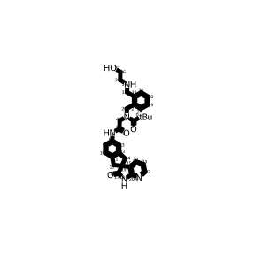 CC(C)(C)C(=O)N(CC(=O)Nc1ccc2c(c1)CC1(C2)C(=O)Nc2ncccc21)Cc1ccccc1CNCCO